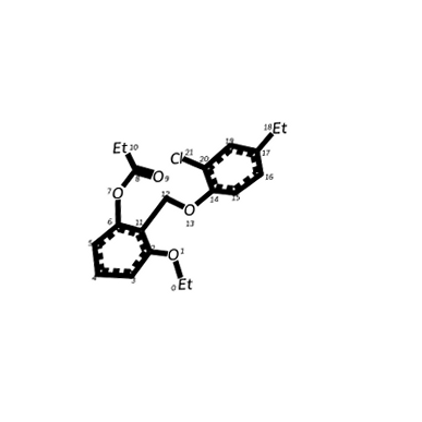 CCOc1cccc(OC(=O)CC)c1COc1ccc(CC)cc1Cl